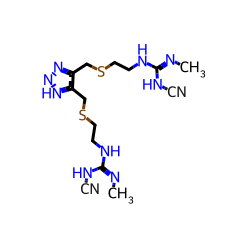 CN=C(NC#N)NCCSCc1nn[nH]c1CSCCNC(=NC)NC#N